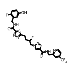 O=C(NCc1cc(C(F)(F)F)ccn1)c1cn(CC(F)CCc2nnc(C(=O)NCc3cc(O)ccc3F)s2)nn1